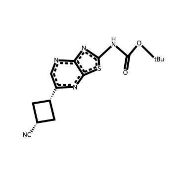 CC(C)(C)OC(=O)Nc1nc2ncc([C@H]3C[C@@H](C#N)C3)nc2s1